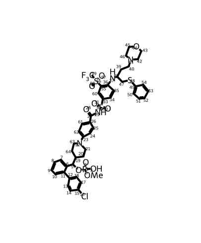 COP(=O)(O)OC(c1ccccc1-c1ccc(Cl)cc1)C1CCN(c2ccc(C(=O)NS(=O)(=O)c3ccc(NC(CCN4CCOCC4)CSc4ccccc4)c(S(=O)(=O)C(F)(F)F)c3)cc2)CC1